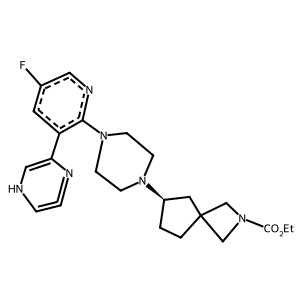 CCOC(=O)N1CC2(CC[C@@H](N3CCN(c4ncc(F)cc4C4=CNC=C=N4)CC3)C2)C1